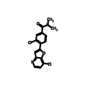 CN(C)C(=O)c1ccc(-c2cc3nccc(Cl)c3o2)c(Cl)c1